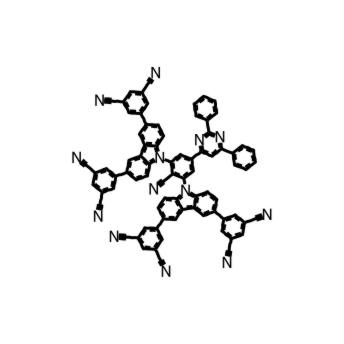 N#Cc1cc(C#N)cc(-c2ccc3c(c2)c2cc(-c4cc(C#N)cc(C#N)c4)ccc2n3-c2cc(-c3cc(-c4ccccc4)nc(-c4ccccc4)n3)cc(-n3c4ccc(-c5cc(C#N)cc(C#N)c5)cc4c4cc(-c5cc(C#N)cc(C#N)c5)ccc43)c2C#N)c1